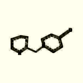 O=c1ccn(Cc2ccccn2)cc1